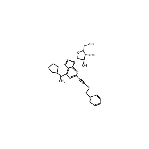 CN(c1nc(C#CCOc2ccccc2)nc2c1ncn2[C@@H]1O[C@H](CO)[C@@H](O)[C@H]1O)C1CCCC1